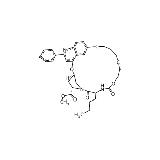 CCCC[C@@H]1NC(=O)OCCCCCCCc2ccc3nc(-c4ccccc4)cc(c3c2)O[C@@H]2C[C@@H](C(=O)OC)N(C2)C1=O